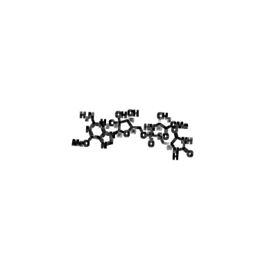 COC(=O)[C@@H](C)N[P@@](=O)(OC[C@H]1O[C@@H](n2cnc3c(OC)nc(N)nc32)[C@](C)(O)[C@@H]1O)SC[C@H]1NC(=O)NC1=O